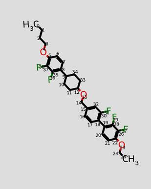 CCCCOc1ccc(C2CCC(OCc3ccc(-c4ccc(OCC)c(F)c4F)c(F)c3)CC2)c(F)c1F